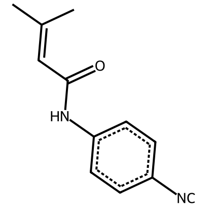 [C-]#[N+]c1ccc(NC(=O)C=C(C)C)cc1